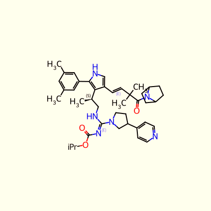 Cc1cc(C)cc(-c2[nH]cc(/C=C/C(C)(C)C(=O)N3C4CCC3CC4)c2[C@H](C)CN/C(=N\C(=O)OC(C)C)N2CCC(c3ccncc3)C2)c1